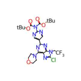 CC(C)(C)OC(=O)N(C(=O)OC(C)(C)C)c1ncc(-c2nc(N3CCOCC3)c3nc(Cl)n(CC(F)(F)F)c3n2)cn1